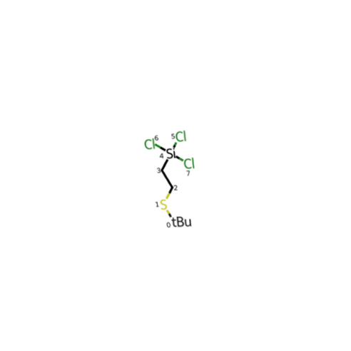 CC(C)(C)SCC[Si](Cl)(Cl)Cl